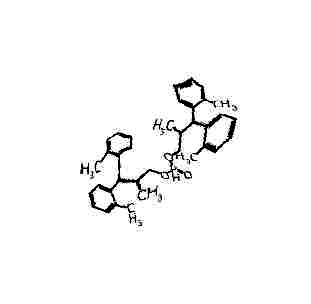 Cc1ccccc1C(c1ccccc1C)C(C)CO[PH](=O)OCC(C)C(c1ccccc1C)c1ccccc1C